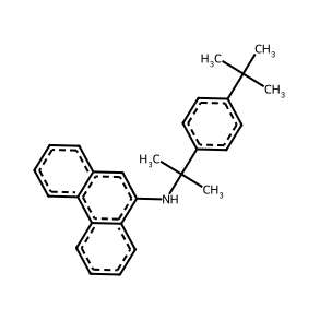 CC(C)(C)c1ccc(C(C)(C)Nc2cc3ccccc3c3ccccc23)cc1